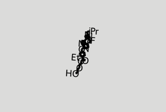 CCc1cc(Oc2nccn3c(-c4cn(CC(C)C)nc4C(F)F)cnc23)ccc1C(=O)OCCOCCO